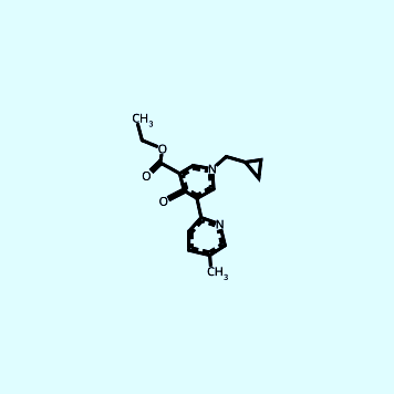 CCOC(=O)c1cn(CC2CC2)cc(-c2ccc(C)cn2)c1=O